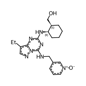 CCc1cnn2c(NCc3ccc[n+]([O-])c3)nc(N[C@@H]3CCCC[C@@H]3CO)nc12